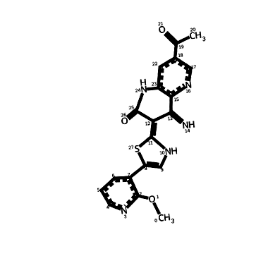 COc1ncccc1C1=CN/C(=C2\C(=N)c3ncc(C(C)=O)cc3NC2=O)S1